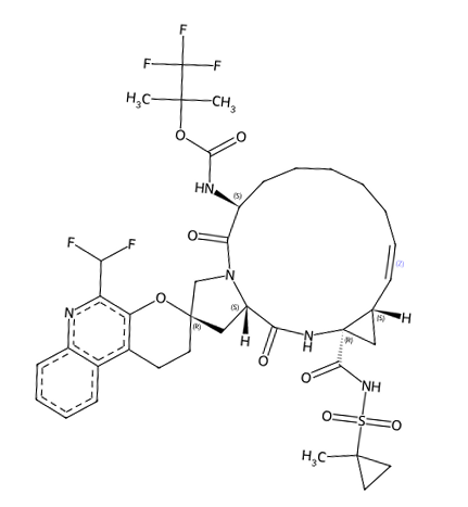 CC(C)(OC(=O)N[C@H]1CCCCC/C=C\[C@@H]2C[C@@]2(C(=O)NS(=O)(=O)C2(C)CC2)NC(=O)[C@@H]2C[C@]3(CCc4c(c(C(F)F)nc5ccccc45)O3)CN2C1=O)C(F)(F)F